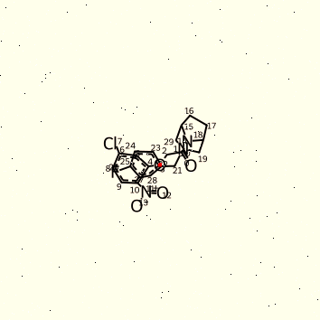 O=C(COc1cc(Cl)ccc1[N+](=O)[O-])N1C2CCC1CN(Cc1ccc(F)cc1)C2